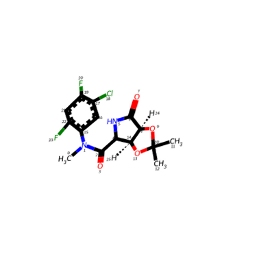 CN(C(=O)C1NC(=O)[C@H]2OC(C)(C)O[C@@H]12)c1cc(Cl)c(F)cc1F